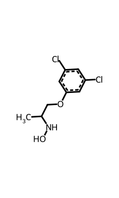 CC(COc1cc(Cl)cc(Cl)c1)NO